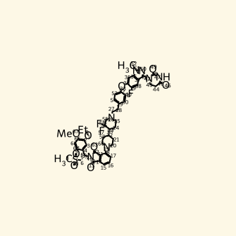 CCOc1cc([C@@H](CS(C)(=O)=O)N2C(=O)c3cccc(N4CCC([C@@H]5CCN(CCc6ccc(Oc7cc8c(cc7F)c(N7CCC(=O)NC7=O)nn8C)cc6)CC5(F)F)CC4)c3C2=O)ccc1OC